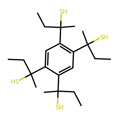 CCC(C)(S)c1cc(C(C)(S)CC)c(C(C)(S)CC)cc1C(C)(S)CC